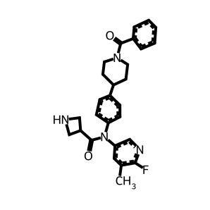 Cc1cc(N(C(=O)C2CNC2)c2ccc(C3CCN(C(=O)c4ccccc4)CC3)cc2)cnc1F